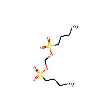 O=S(=O)(O)CCCS(=O)(=O)OCOS(=O)(=O)CCCS(=O)(=O)O